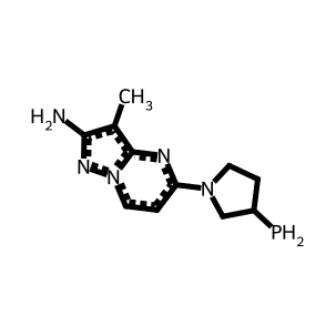 Cc1c(N)nn2ccc(N3CCC(P)C3)nc12